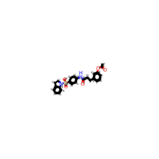 CC(=O)Oc1cccc(/C=C/C(=O)Nc2ccc(S(=O)(=O)N3CCc4ccccc43)cc2)c1